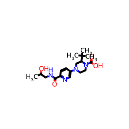 CC(O)CNC(=O)c1ccc(N2CCN(C(=O)O)C(C(C)(C)C)C2)cn1